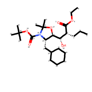 CCC[C@@H](C(=O)OCC)[C@H](O)[C@@H]1OC(C)(C)N(C(=O)OC(C)(C)C)[C@H]1CC1CCCCC1